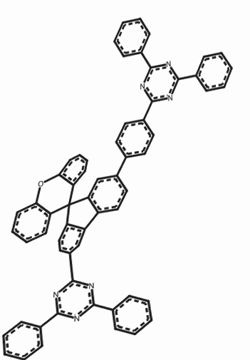 c1ccc(-c2nc(-c3ccccc3)nc(-c3ccc(-c4ccc5c(c4)C4(c6ccccc6Oc6ccccc64)c4ccc(-c6nc(-c7ccccc7)nc(-c7ccccc7)n6)cc4-5)cc3)n2)cc1